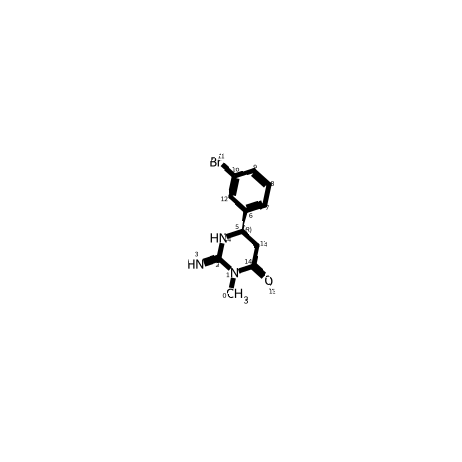 CN1C(=N)N[C@@H](c2cccc(Br)c2)CC1=O